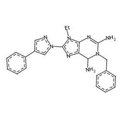 CCn1c(-n2cc(-c3ccccc3)cn2)nc2c1N=C(N)N(Cc1ccccc1)C2N